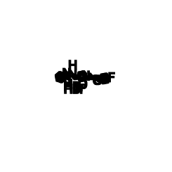 Br.Br.Fc1ccc(OCCCN2CCC(CNc3nc4ccccc4s3)CC2)cc1.O